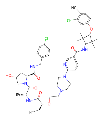 CC(C)C[C@H](OCCN1CCN(c2ccc(C(=O)NC3C(C)(C)C(Oc4ccc(C#N)c(Cl)c4)C3(C)C)cn2)CC1)C(=O)N[C@H](C(=O)N1C[C@H](O)C[C@H]1C(=O)NCc1ccc(Cl)cc1)C(C)C